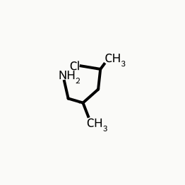 C[C](CN)CC(C)Cl